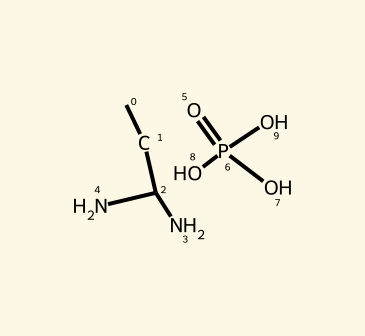 CCC(N)N.O=P(O)(O)O